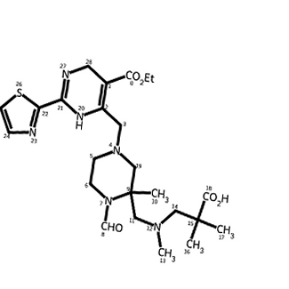 CCOC(=O)C1=C(CN2CCN(C=O)C(C)(CN(C)CC(C)(C)C(=O)O)C2)NC(c2nccs2)=NC1